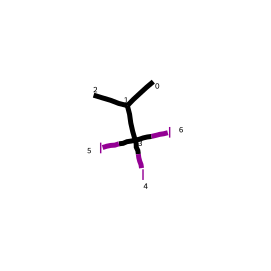 CC(C)C(I)(I)I